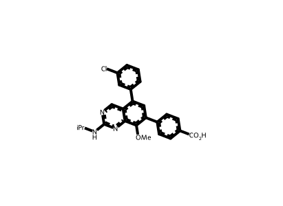 COc1c(-c2ccc(C(=O)O)cc2)cc(-c2cccc(Cl)c2)c2cnc(NC(C)C)nc12